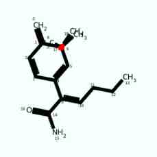 C=C(\C=C/C(=C\C(C)C)C(=C\CCC)/C(N)=O)OC